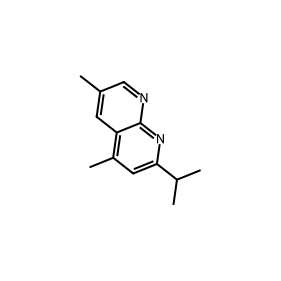 Cc1cnc2nc(C(C)C)cc(C)c2c1